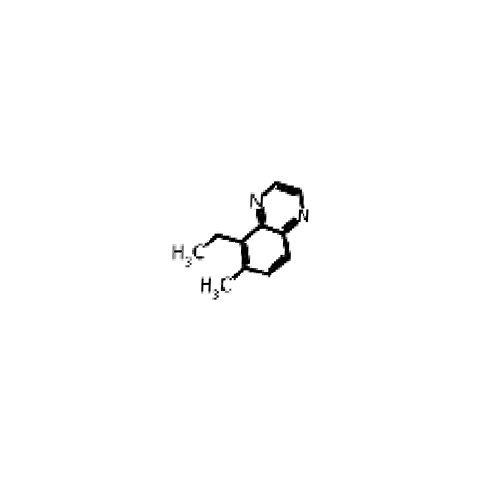 CCc1c(C)ccc2nccnc12